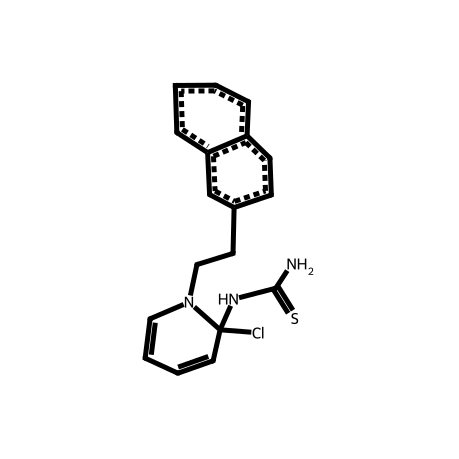 NC(=S)NC1(Cl)C=CC=CN1CCc1ccc2ccccc2c1